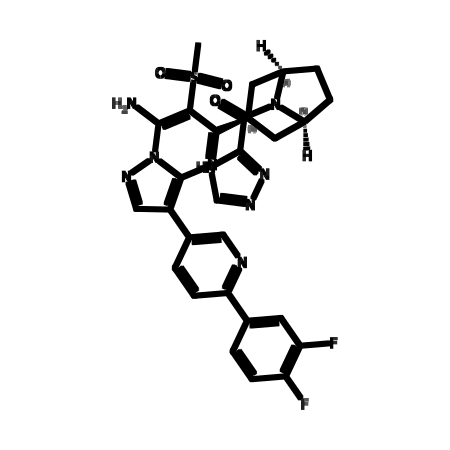 CS(=O)(=O)c1c([C@H]2C[C@H]3CC[C@@H](C2)N3C(=O)c2nnc[nH]2)nc2c(-c3ccc(-c4ccc(F)c(F)c4)nc3)cnn2c1N